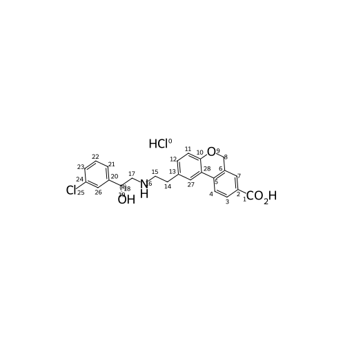 Cl.O=C(O)c1ccc2c(c1)COc1ccc(CCNC[C@H](O)c3cccc(Cl)c3)cc1-2